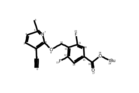 C#Cc1ccc(C)nc1OCc1c(F)cc(C(=O)OC(C)(C)C)cc1F